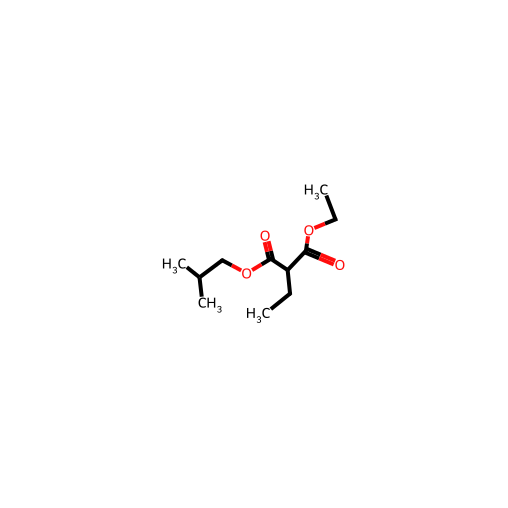 CCOC(=O)C(CC)C(=O)OCC(C)C